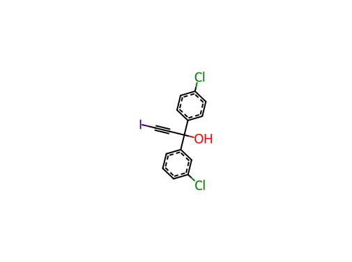 OC(C#CI)(c1ccc(Cl)cc1)c1cccc(Cl)c1